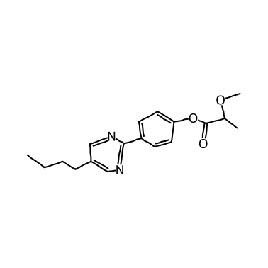 CCCCc1cnc(-c2ccc(OC(=O)C(C)OC)cc2)nc1